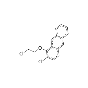 ClCCOc1c(Cl)ccc2cc3ccccc3cc12